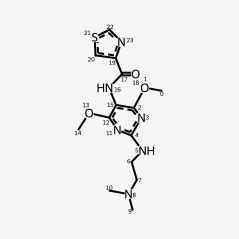 COc1nc(NCCN(C)C)nc(OC)c1NC(=O)c1cscn1